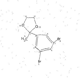 CC1(c2cc(Br)cc(Br)c2)OCCO1